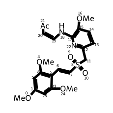 COc1cc(OC)c(/C=C/S(=O)(=O)Cc2ccc(OC)c(N/C=C\C(C)=O)n2)c(OC)c1